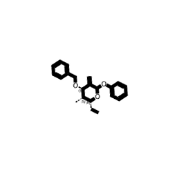 C=C1C(Oc2ccccc2)O[C@H](CC)[C@H](C)[C@@H]1OCc1ccccc1